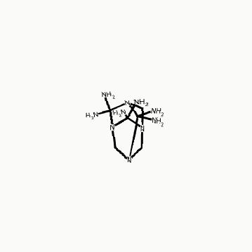 NC1(N)N2CN3CN1C(N)(N)N(C2)C3(N)N